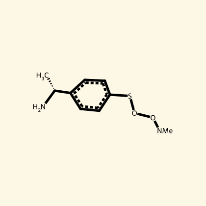 CNOOSc1ccc([C@@H](C)N)cc1